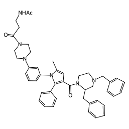 CC(=O)NCCC(=O)N1CCN(c2cccc(-n3c(C)cc(C(=O)N4CCN(Cc5ccccc5)CC4Cc4ccccc4)c3-c3ccccc3)c2)CC1